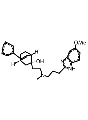 COc1ccc2[nH]c(CCCN(C)CC[C@@]3(O)C[C@@H]4CC[C@H]3C=C4c3ccccc3)nc2c1